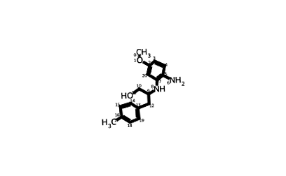 COc1ccc(N)c(NC(CO)Cc2ccc(C)cc2)c1